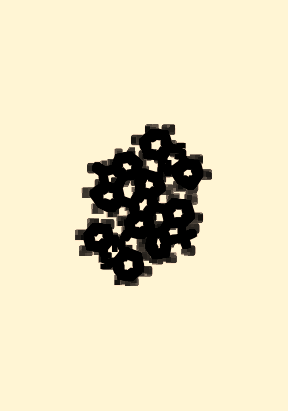 C=C1c2ccccc2-c2c1cccc2-c1c2cc(N3c4ccccc4Sc4ccccc43)ccc2c(-c2cccc3c2-c2ccccc2C3(C)C)c2cc(N3c4ccccc4Sc4ccccc43)ccc12